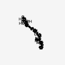 Nc1ncnc2c1c(-c1ccc(Oc3ccccc3)cc1)nn2[C@@H]1CCCN(C(=O)CN2CCC(N3CC(C#Cc4ccc5c(c4)C(O)N(C4CCC(=O)NC4=O)C5O)C3)CC2)C1